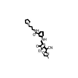 CCn1c(=C(C#N)C2=N[C@@H](C)CO2)sc(=CNc2cccc(C(=O)NCCCN3CCCC3)c2)c1=O